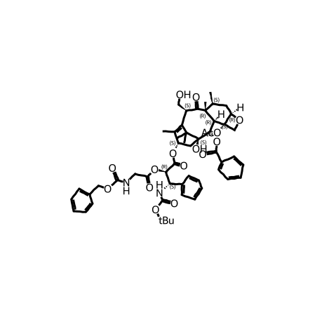 CC(=O)O[C@@]12CO[C@@H]1C[C@H](C)[C@@]1(C)C(=O)[C@H](CO)C3=C(C)[C@@H](OC(=O)[C@H](OC(=O)CNC(=O)OCc4ccccc4)[C@@H](NC(=O)OC(C)(C)C)c4ccccc4)C[C@@](O)([C@@H](OC(=O)c4ccccc4)[C@H]21)C3(C)C